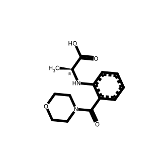 C[C@H](Nc1ccccc1C(=O)N1CCOCC1)C(=O)O